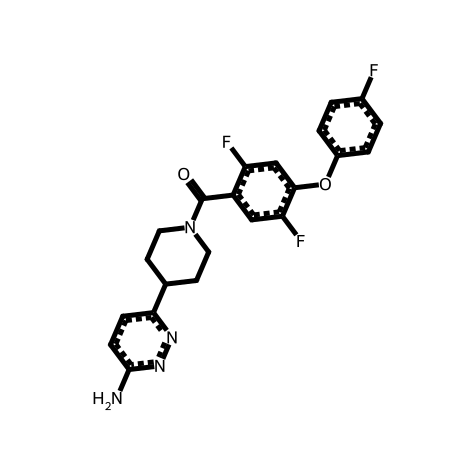 Nc1ccc(C2CCN(C(=O)c3cc(F)c(Oc4ccc(F)cc4)cc3F)CC2)nn1